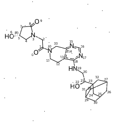 O=C(CN1C[C@H](O)CC1=O)N1CCc2c(ncnc2NCC(O)C23CC4CC(CC(C4)C2)C3)C1